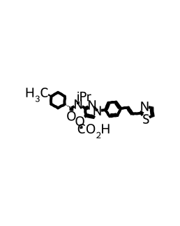 CC(C)N(c1nn(-c2ccc(/C=C/c3nccs3)cc2)cc1OC(=O)O)C(=O)[C@H]1CC[C@H](C)CC1